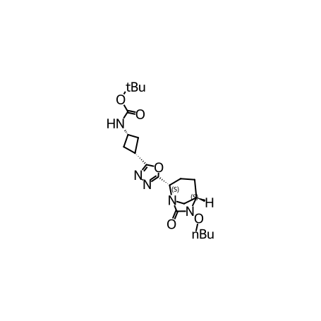 CCCCON1C(=O)N2C[C@@H]1CC[C@H]2c1nnc([C@H]2C[C@@H](NC(=O)OC(C)(C)C)C2)o1